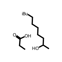 CCC(=O)O.CCC(C)CCCCCC(C)O